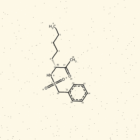 CCCCC[C@@H](NS(=O)(=O)Cc1ccccc1)C(C)=O